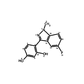 Cn1nc(-c2ccc(O)cc2O)c2cc(F)ccc21